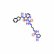 O=C(NCCCCNC(=O)C1CCCN1)Nc1nccnc1C(=O)NC1Cc2ccccc2C1